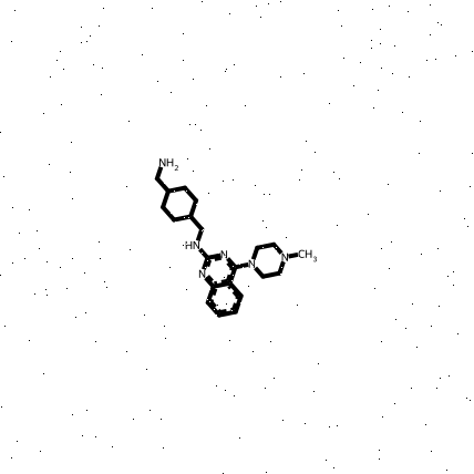 CN1CCN(c2nc(NCC3CCC(CN)CC3)nc3ccccc23)CC1